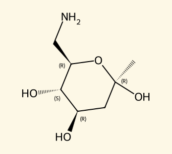 C[C@]1(O)C[C@@H](O)[C@H](O)[C@@H](CN)O1